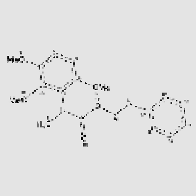 COc1ccc(OC)c(C(C)C(=O)OCCc2ccccc2)c1OC